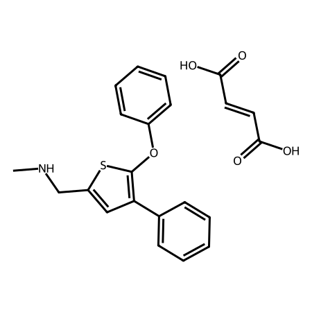 CNCc1cc(-c2ccccc2)c(Oc2ccccc2)s1.O=C(O)C=CC(=O)O